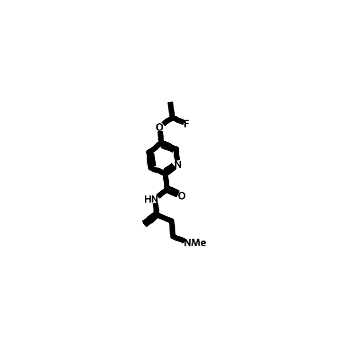 C=C(CCNC)NC(=O)c1ccc(OC(C)F)cn1